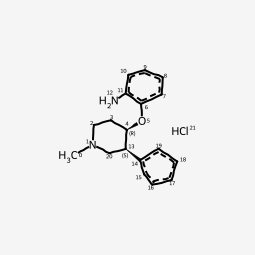 CN1CC[C@@H](Oc2ccccc2N)[C@@H](c2ccccc2)C1.Cl